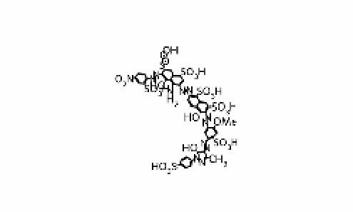 COc1cc(S(=O)(=O)O)c(/N=N/c2c(C)nn(-c3ccc(S(=O)(=O)O)cc3)c2O)cc1N=Nc1c(S(=O)(=O)O)cc2c(S(=O)(=O)O)c(N=Nc3cc(S(=O)(=O)O)c4cc(SOOO)c(N=Nc5ccc([N+](=O)[O-])cc5S(=O)(=O)O)c(O)c4c3N)ccc2c1O